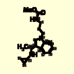 COC(=O)NCCCn1cc([C@@H](C)NC2CC2)c2cccnc21